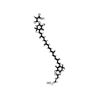 CC1=C(/C=C/C(C)=C/C=C/C(C)=C/C=C/C=C(C)/C=C/C=C(C)/C=C/C2=C(C)C(=O)C(OC(=O)C(C)C(=O)S)CC2(C)C)C(C)(C)CC(OC(=O)CSCC(=O)O)C1=O